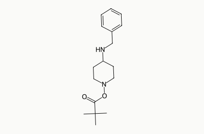 CC(C)(C)C(=O)ON1CCC(NCc2ccccc2)CC1